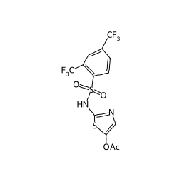 CC(=O)Oc1cnc(NS(=O)(=O)c2ccc(C(F)(F)F)cc2C(F)(F)F)s1